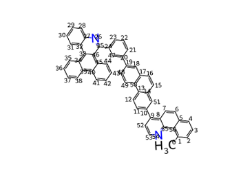 Cc1cccc2ccc3c(-c4ccc5c(ccc6cc(-c7cccc(-c8nc9ccccc9c9c%10ccccc%10c%10ccccc%10c89)c7)ccc65)c4)ccnc3c12